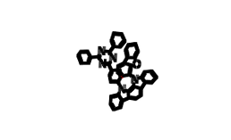 c1ccc(-c2nc(-c3ccccc3)nc(-c3ccc(-n4c5ccccc5c5ccc6c7ccccc7n(-c7cccc8c7oc7ccccc78)c6c54)cc3)n2)cc1